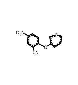 N#Cc1cc([N+](=O)[O-])ccc1Oc1cccnc1